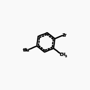 Cc1cc(C(C)(C)C)cc[c]1[Zr]